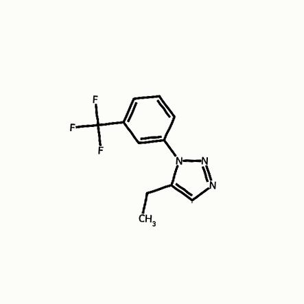 CCc1[c]nnn1-c1cccc(C(F)(F)F)c1